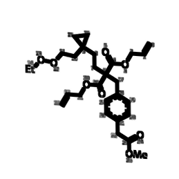 C=CCOC(=O)C(CCC1(CCOOCC)CC1)(Cc1ccc(CC(=O)OC)cc1)C(=O)OCC=C